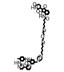 Cc1ccc(NC(=O)c2ccc(CN3CCN(CCCCCCOCCOCCOCCCCCC(=O)Nc4cccc5c4C(=O)C(C4CCC(=O)NC4=O)C5=O)CC3)cc2)cc1Nc1nccc(-c2cccnc2)n1